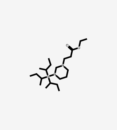 CCOC(=O)CCN1CCCN([Si](C(C)CC)(C(C)CC)C(C)CC)C1